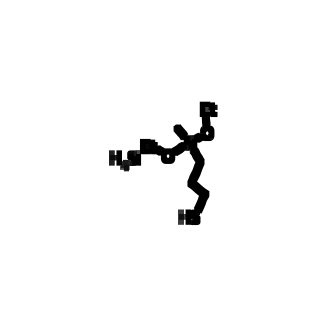 CCO[Si](C)(CCCS)OCC.[SiH4]